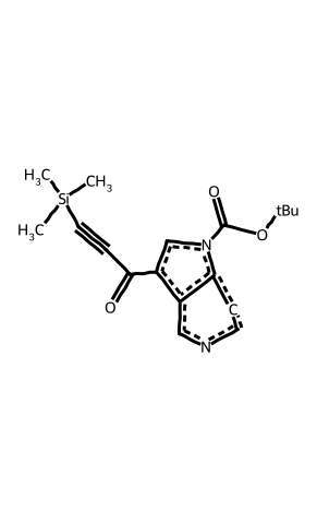 CC(C)(C)OC(=O)n1cc(C(=O)C#C[Si](C)(C)C)c2cnccc21